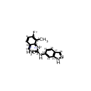 C=C(/N=C1/C(C)=C(F)C=C/C1=C/N)Nc1ccc2cn[nH]c2c1